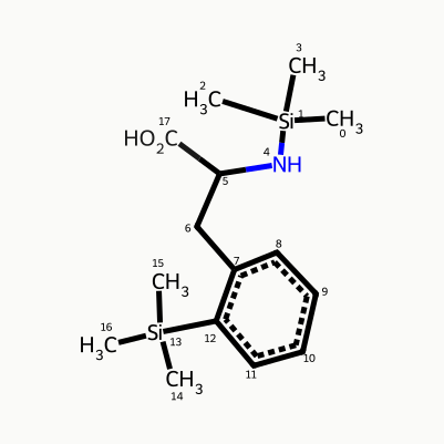 C[Si](C)(C)NC(Cc1ccccc1[Si](C)(C)C)C(=O)O